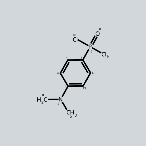 CN(C)c1ccc(P(=O)(Cl)Cl)cc1